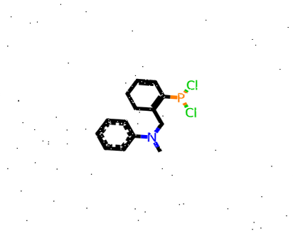 CN(CC1=C(P(Cl)Cl)C=CCC1)c1ccccc1